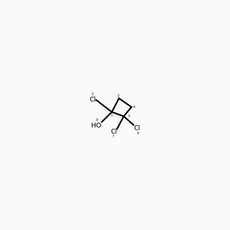 OC1(Cl)CCC1(Cl)Cl